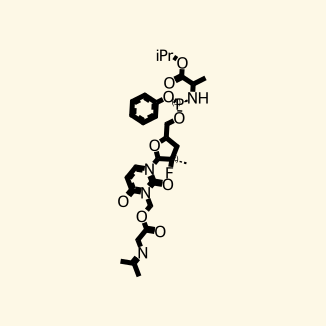 CC(C)=NCC(=O)OCn1c(=O)ccn(C2OC(CO[P@@](NC(C)C(=O)OC(C)C)Oc3ccccc3)C[C@@]2(C)F)c1=O